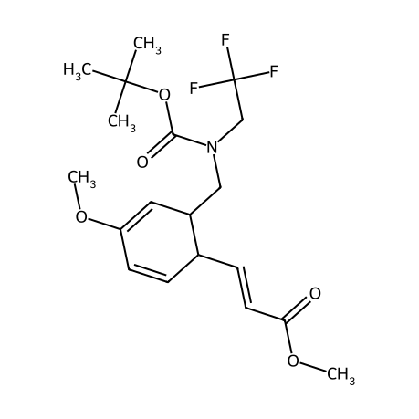 COC(=O)C=CC1C=CC(OC)=CC1CN(CC(F)(F)F)C(=O)OC(C)(C)C